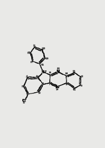 Clc1ccc2c(c1)c1nc3ccccc3nc1n2-c1ccccc1